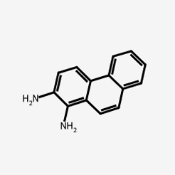 Nc1ccc2c(ccc3ccccc32)c1N